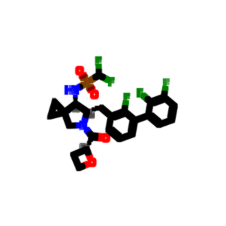 O=C([C@H]1CCO1)N1CC2(CC2)[C@H](NS(=O)(=O)C(F)F)[C@@H]1Cc1cccc(-c2cccc(F)c2F)c1F